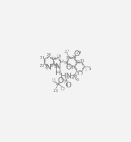 Cc1cc([C@@H](C)NC(=O)OC(C)(C)C)c2oc(-c3cc4cccnc4[nH]3)c(C)c(=O)c2c1